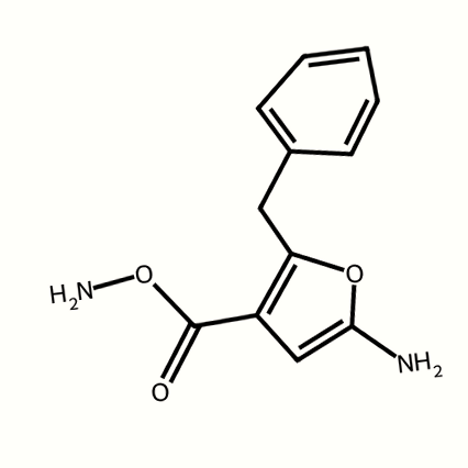 NOC(=O)c1cc(N)oc1Cc1ccccc1